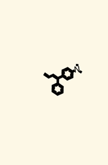 C=C/C=C(\c1ccccc1)c1ccc(N(C)C)cc1